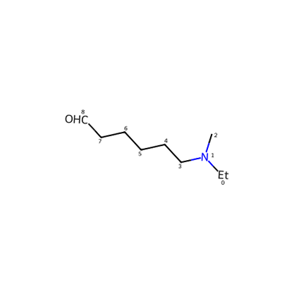 CCN(C)CCCCCC=O